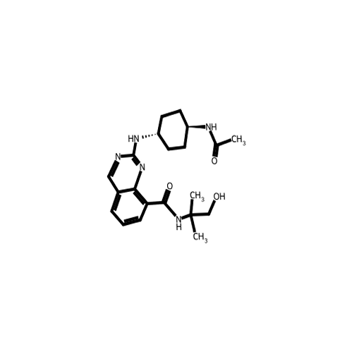 CC(=O)N[C@H]1CC[C@H](Nc2ncc3cccc(C(=O)NC(C)(C)CO)c3n2)CC1